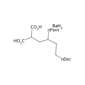 CCCCCCCCCCCCC(CCCCC)CC(C(=O)O)C(=O)O.[BaH2]